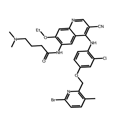 CCOc1cc2ncc(C#N)c(Nc3ccc(OCc4nc(Br)ccc4C)cc3Cl)c2cc1NC(=O)CCCN(C)C